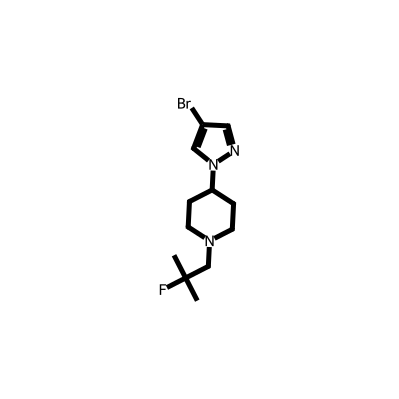 CC(C)(F)CN1CCC(n2cc(Br)cn2)CC1